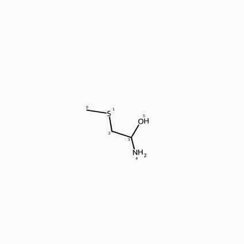 CSCC(N)O